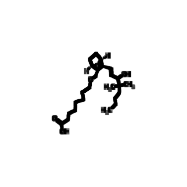 CCCCC(C)(C)C(O)/C=C/[C@H]1[C@@H](COCCCCCCCC(=O)O)[C@H]2CC[C@@H]1O2